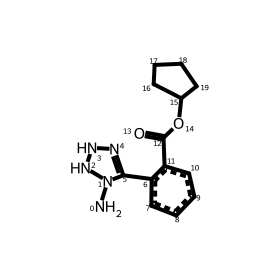 NN1NNN=C1c1ccccc1C(=O)OC1CCCC1